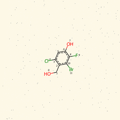 OCc1c(Cl)cc(O)c(F)c1Br